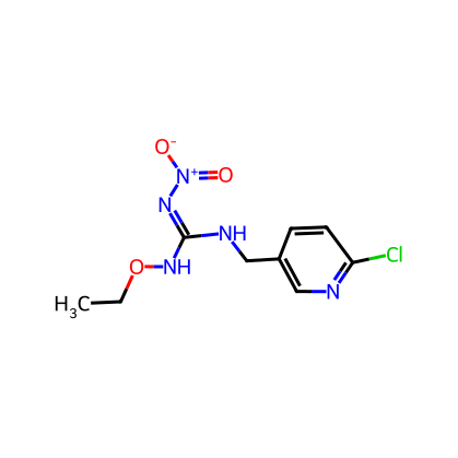 CCON/C(=N/[N+](=O)[O-])NCc1ccc(Cl)nc1